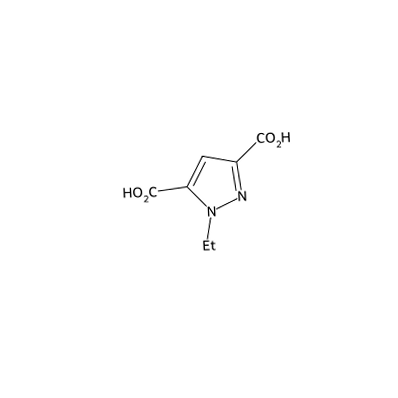 CCn1nc(C(=O)O)cc1C(=O)O